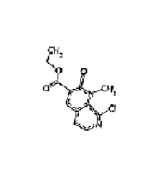 CCOC(=O)c1cc2ccnc(Cl)c2n(C)c1=O